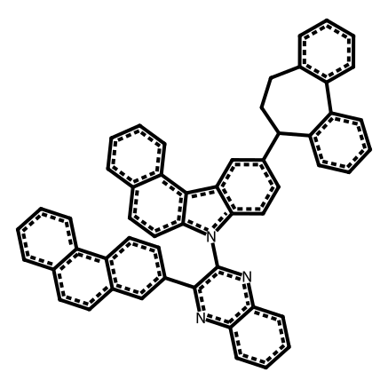 c1ccc2c(c1)CCC(c1ccc3c(c1)c1c4ccccc4ccc1n3-c1nc3ccccc3nc1-c1ccc3c(ccc4ccccc43)c1)c1ccccc1-2